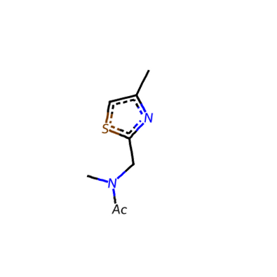 CC(=O)N(C)Cc1nc(C)cs1